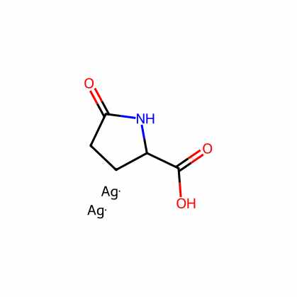 O=C1CCC(C(=O)O)N1.[Ag].[Ag]